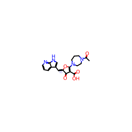 CC(=O)N1CCCN(C2=C(C(=O)O)C(=O)/C(=C/c3c[nH]c4ncccc34)O2)CC1